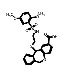 COc1ccc(OC)c(S(=O)(=O)NCCSC2c3ccccc3COc3ccc(C(=O)O)cc32)c1